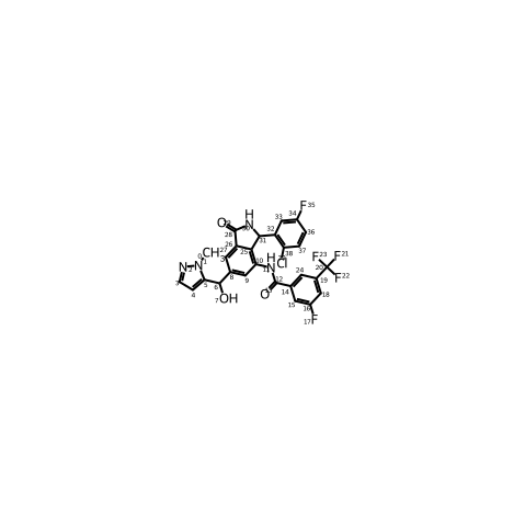 Cn1nccc1C(O)c1cc(NC(=O)c2cc(F)cc(C(F)(F)F)c2)c2c(c1)C(=O)NC2c1cc(F)ccc1Cl